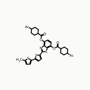 CC(=O)C1CCC(C(=O)Oc2ccc(OC(=O)C3CCC(C(C)=O)CC3)c3sc(-c4ccc(-c5ccc(C)s5)s4)nc23)CC1